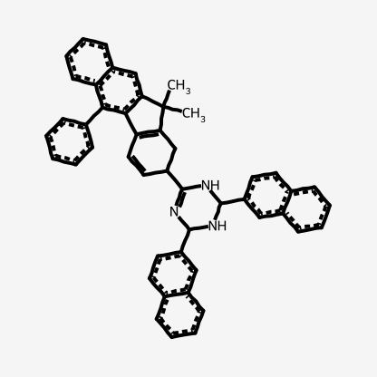 CC1(C)C2=C(C=CC(C3=NC(c4ccc5ccccc5c4)NC(c4ccc5ccccc5c4)N3)C2)c2c1cc1ccccc1c2-c1ccccc1